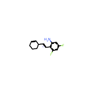 Nc1cc(F)cc(F)c1/C=C/C1C=CCCC1